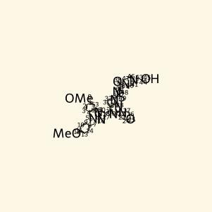 COc1ccc(CN(Cc2ccc(OC)cc2)c2ncc(-c3nc(N4CCOCC4)nc4c3CCN4c3nc(C(=O)N4CCN(CCO)CC4)cs3)cn2)cc1